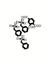 CC[N+](CC)(CC)Cc1ccccc1.CC[N+](CC)(CC)Cc1ccccc1.CC[N+](CC)(CC)Cc1ccccc1.O=C([O-])c1ccc(C(=O)[O-])c(C(=O)[O-])c1